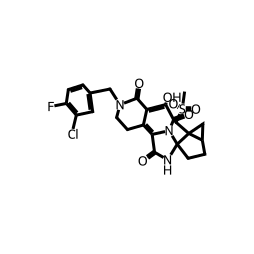 CS(=O)(=O)CC12CC1CCC21NC(=O)c2c3c(c(O)c(=O)n21)C(=O)N(Cc1ccc(F)c(Cl)c1)CC3